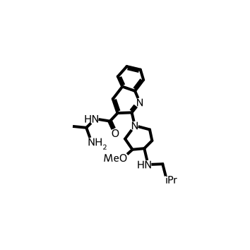 COC1CN(c2nc3ccccc3cc2C(=O)NC(C)N)CCC1NCC(C)C